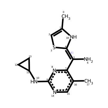 CC1=CS/C(=C(/N)c2nc(NC3CC3)ncc2C)N1